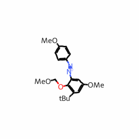 COCOc1c(/N=N/c2ccc(OC)cc2)cc(OC)cc1C(C)(C)C